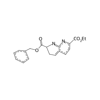 CCOC(=O)c1ccc2c(n1)=NC(C(=O)OCc1ccccc1)CC=2